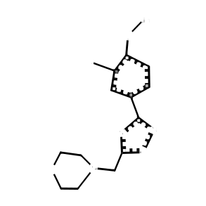 CC(C)Oc1ccc(-c2noc(CN3CCOCC3)n2)cc1Cl